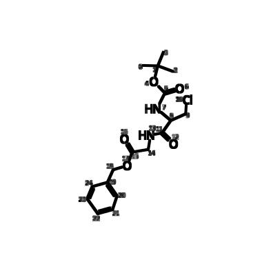 CC(C)(C)OC(=O)NC(CCl)C(=O)NCC(=O)OCc1ccccc1